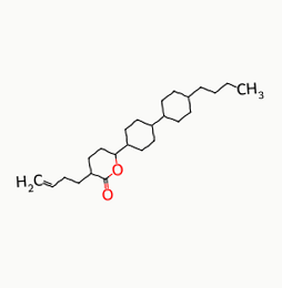 C=CCCC1CCC(C2CCC(C3CCC(CCCC)CC3)CC2)OC1=O